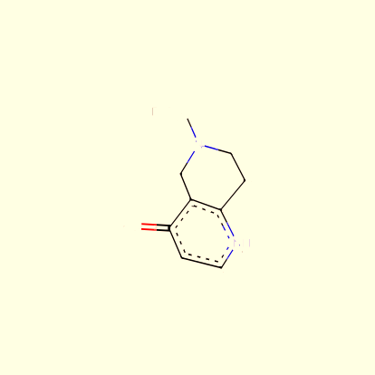 CCOC(=O)N1CCc2[nH]ccc(=O)c2C1